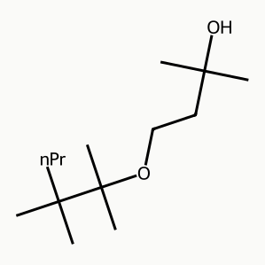 CCCC(C)(C)C(C)(C)OCCC(C)(C)O